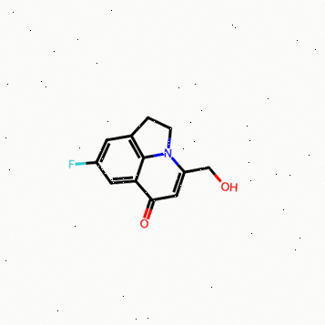 O=c1cc(CO)n2c3c(cc(F)cc13)CC2